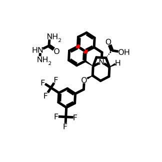 NNC(N)=O.O=C(O)[C@H]1C[C@@]2(c3ccccc3)[C@H](OCc3cc(C(F)(F)F)cc(C(F)(F)F)c3)CC[C@@H]1N2Cc1ccccc1